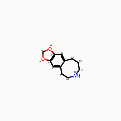 c1c2c(cc3c1OCO3)CCNCCC2